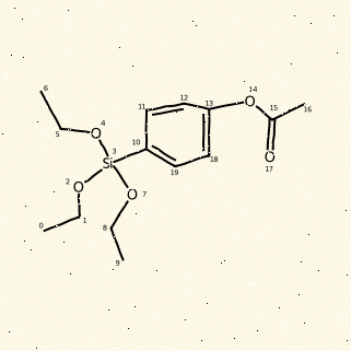 CCO[Si](OCC)(OCC)c1ccc(OC(C)=O)cc1